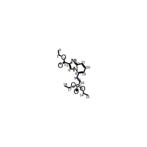 CCOC(=O)c1cn2c(/C=C/P(=O)(OCC)OCC)cccc2n1